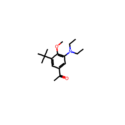 CCN(CC)c1cc(C(C)=O)cc(C(C)(C)C)c1OC